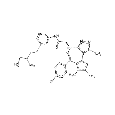 Cc1sc2c(c1C)C(c1ccc(Cl)cc1)=N[C@@H](CC(=O)Nc1cccc(CCC(N)CO)c1)c1nnc(C)n1-2